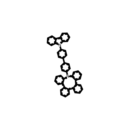 c1ccc2c(c1)c1ccccc1c1ccccc1n(-c1ccc(-c3ccc(-n4c5ccccc5c5ccccc54)cc3)cc1)c1ccccc21